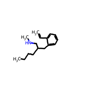 C=Cc1ccccc1CC(CCCC)CNC